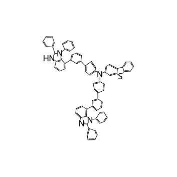 c1ccc(-c2nc3cccc(-c4cccc(-c5ccc(N(c6ccc(-c7cccc(-c8cccc9c8N(c8ccccc8)C(c8ccccc8)N9)c7)cc6)c6ccc7c(c6)sc6ccccc67)cc5)c4)c3n2-c2ccccc2)cc1